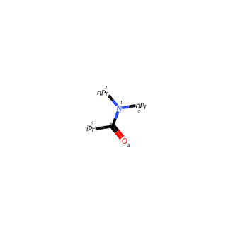 CCCN(CCC)C(=O)[C](C)C